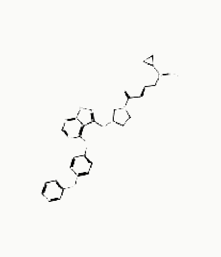 CN(C/C=C/C(=O)N1CC[C@@H](Nc2n[nH]c3ncnc(Oc4ccc(Oc5ccccc5)cc4)c23)C1)C1CC1